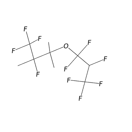 CC(C)(OC(F)(F)C(F)C(F)(F)F)C(C)(F)C(F)(F)F